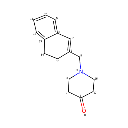 O=C1CCN(CC2=Cc3ccccc3CC2)CC1